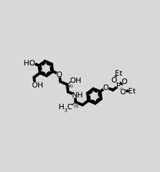 CCOP(=O)(COc1ccc(C[C@H](C)NC[C@@H](O)COc2ccc(O)c(CO)c2)cc1)OCC